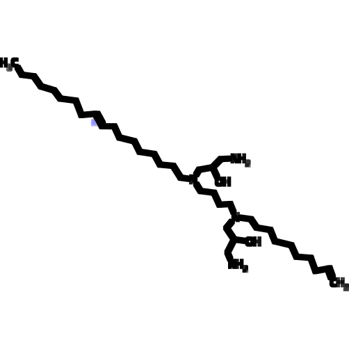 C=CCCCCCCCCN(CCCCN(CCCCCCCC/C=C/CCCCCCCC)CC(O)CN)CC(O)CN